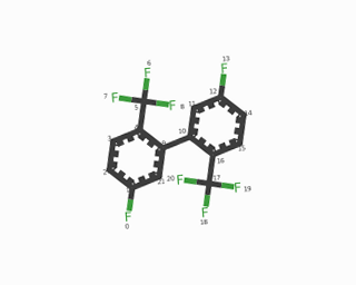 Fc1ccc(C(F)(F)F)c(-c2cc(F)ccc2C(F)(F)F)c1